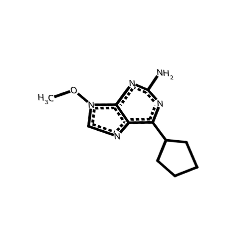 COn1cnc2c(C3CCCC3)nc(N)nc21